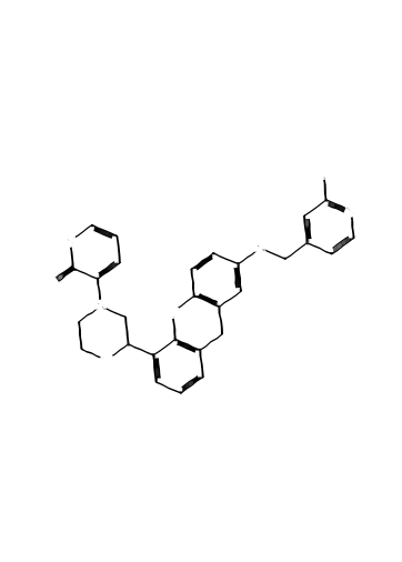 O=c1[nH]cccc1N1CCOC(c2cccc3c2Oc2ccc(NCc4ccnc(Cl)c4)cc2C3)C1